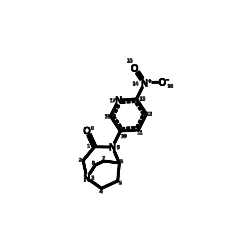 O=C1CN2CCC(CC2)N1c1ccc([N+](=O)[O-])nc1